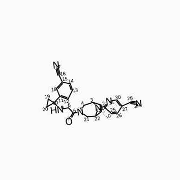 C[C@H]1CC2CN(C(=O)CNC3(c4cccc(C#N)c4)CC3)CC1N2c1ccc(C#N)cn1